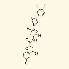 O=C1C[C@H](C(=O)N[C@H]2C[C@H]3C[C@@H]2C[C@@H]3n2cnc(-c3ccc(F)c(F)c3)c2)Oc2ccc(Cl)cc21